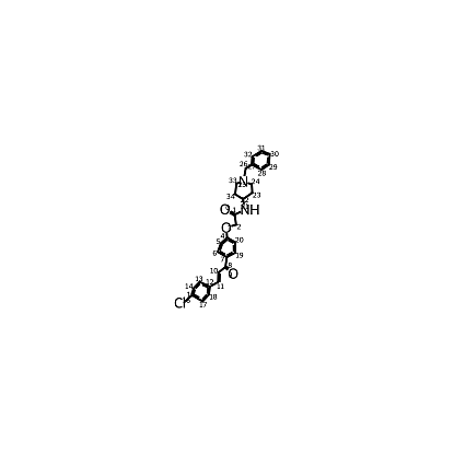 O=C(COc1ccc(C(=O)C=Cc2ccc(Cl)cc2)cc1)NC1CCN(Cc2ccccc2)CC1